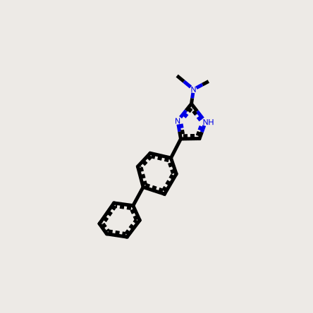 CN(C)c1nc(-c2ccc(-c3ccccc3)cc2)c[nH]1